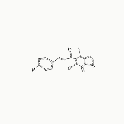 CCc1ccc(/C=C/C(=O)c2c(C)c3ccsc3[nH]c2=O)cc1